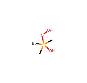 CCP(C)(C)(O)OO